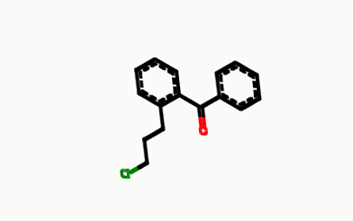 O=C(c1ccccc1)c1ccccc1CCCCl